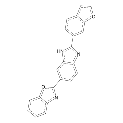 c1ccc2oc(-c3ccc4nc(-c5ccc6ccoc6c5)[nH]c4c3)nc2c1